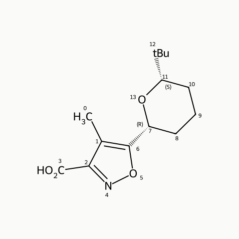 Cc1c(C(=O)O)noc1[C@H]1CCC[C@@H](C(C)(C)C)O1